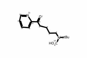 CC(C)(C)N(CCCCC(=O)c1ccccn1)C(=O)O